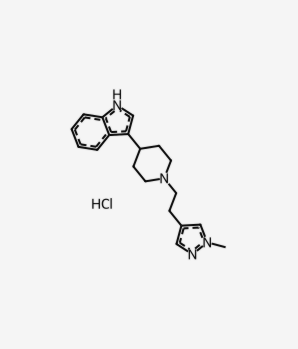 Cl.Cn1cc(CCN2CCC(c3c[nH]c4ccccc34)CC2)cn1